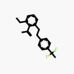 C=C(C)c1c(CC)cccc1CCc1ccc(C(C)(F)F)cc1